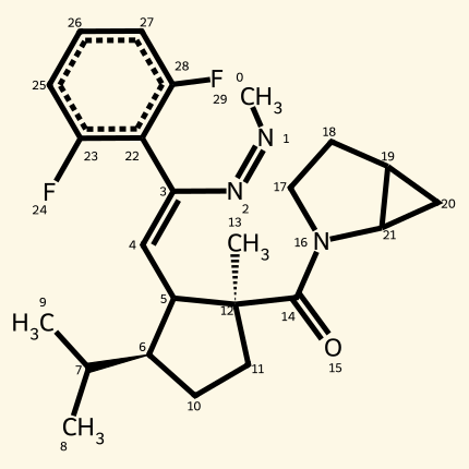 C/N=N\C(=C/C1[C@H](C(C)C)CC[C@]1(C)C(=O)N1CCC2CC21)c1c(F)cccc1F